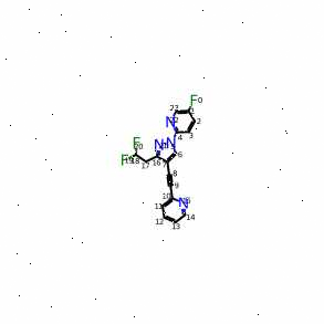 Fc1ccc(-n2cc(C#Cc3ccccn3)c(CC(F)F)n2)nc1